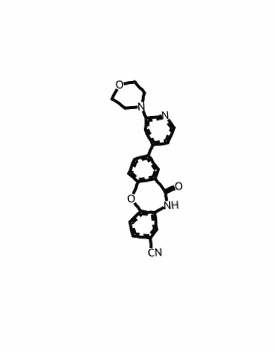 N#Cc1ccc2c(c1)NC(=O)c1cc(-c3ccnc(N4CCOCC4)c3)ccc1O2